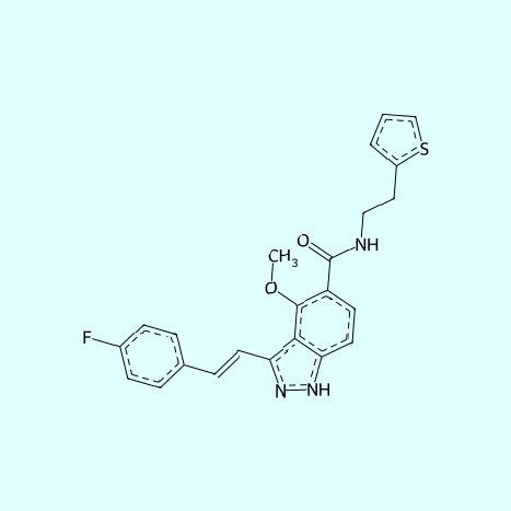 COc1c(C(=O)NCCc2cccs2)ccc2[nH]nc(/C=C/c3ccc(F)cc3)c12